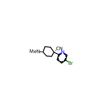 CN[C@H]1CC[C@@](C#N)(c2ccc(Br)cn2)CC1